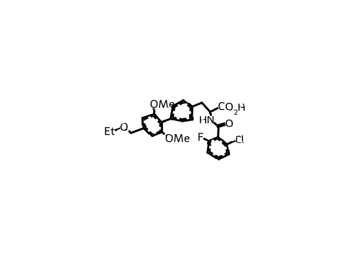 CCOCc1cc(OC)c(-c2ccc(CC(NC(=O)c3c(F)cccc3Cl)C(=O)O)cc2)c(OC)c1